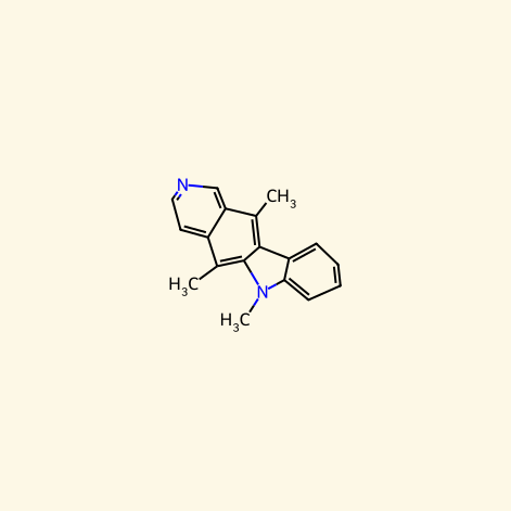 Cc1c2cnccc2c(C)c2c1c1ccccc1n2C